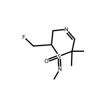 CN=S1(=O)C(CF)CN=CC1(C)C